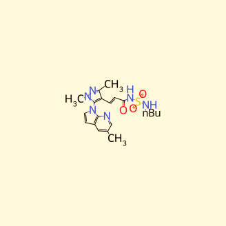 CCCCNS(=O)(=O)NC(=O)C=Cc1c(C)nn(C)c1-n1ccc2cc(C)cnc21